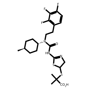 CC(C)(SC1CN=C(NC(=O)N(CCc2ccc(F)c(F)c2F)[C@H]2CC[C@H](C)CC2)S1)C(=O)O